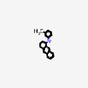 Cc1cccc([N]c2cccc3cc4ccccc4cc23)c1